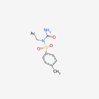 CC(=O)CN(C(N)=O)S(=O)(=O)c1ccc(C)cc1